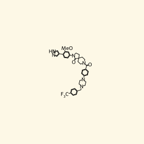 COc1cc(N2CCC3(CCN(C(=O)c4ccc(N5CCN(Cc6ccc(C(F)(F)F)cc6)CC5)cc4)CC3)C2=O)ccc1-c1cn[nH]c1